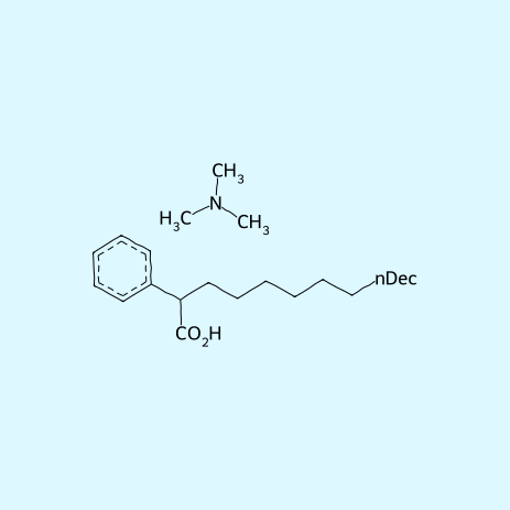 CCCCCCCCCCCCCCCCC(C(=O)O)c1ccccc1.CN(C)C